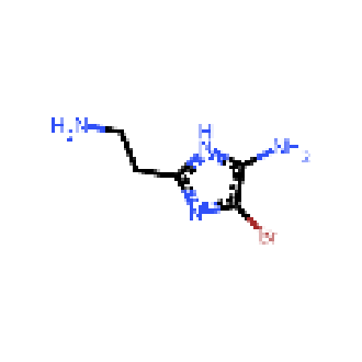 NCCc1nc(Br)c(N)[nH]1